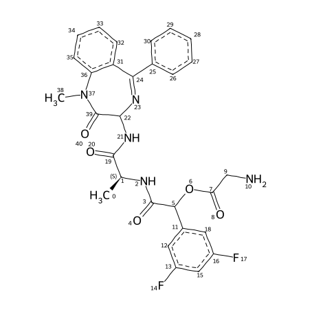 C[C@H](NC(=O)C(OC(=O)CN)c1cc(F)cc(F)c1)C(=O)NC1N=C(c2ccccc2)c2ccccc2N(C)C1=O